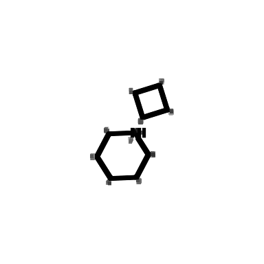 C1CCC1.C1CCNCC1